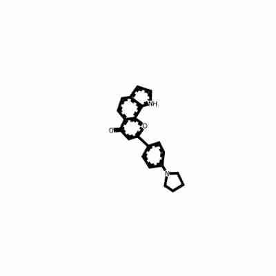 O=c1cc(-c2ccc(N3CCCC3)cc2)oc2c1ccc1cc[nH]c12